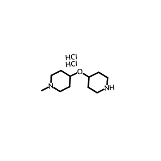 CN1CCC(OC2CCNCC2)CC1.Cl.Cl